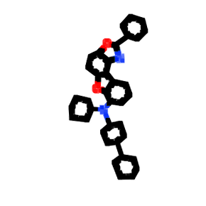 c1ccc(-c2ccc(N(c3ccccc3)c3cccc4c3oc3ccc5oc(-c6ccccc6)nc5c34)cc2)cc1